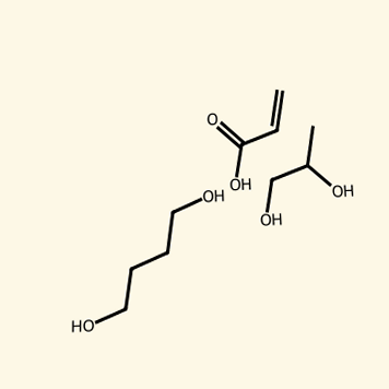 C=CC(=O)O.CC(O)CO.OCCCCO